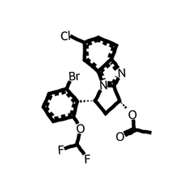 CC(=O)O[C@@H]1C[C@H](c2c(Br)cccc2OC(F)F)n2c1nc1ccc(Cl)cc12